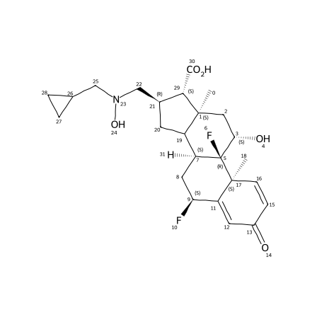 C[C@]12C[C@H](O)[C@@]3(F)[C@@H](C[C@H](F)C4=CC(=O)C=C[C@@]43C)C1C[C@@H](CN(O)CC1CC1)[C@@H]2C(=O)O